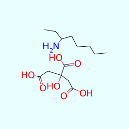 CCCCCC(N)CC.O=C(O)CC(O)(CC(=O)O)C(=O)O